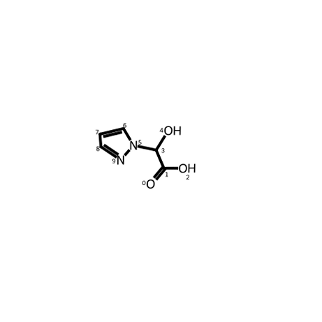 O=C(O)C(O)n1cccn1